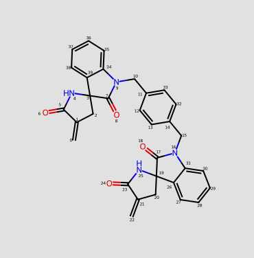 C=C1CC2(NC1=O)C(=O)N(Cc1ccc(CN3C(=O)C4(CC(=C)C(=O)N4)c4ccccc43)cc1)c1ccccc12